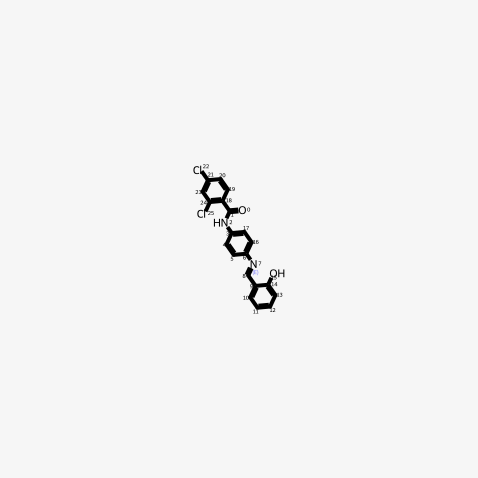 O=C(Nc1ccc(/N=C/c2ccccc2O)cc1)c1ccc(Cl)cc1Cl